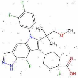 COCC(C)(C)c1c([C@H]2CC[C@](F)(C(=O)O)CC2)c2c(F)c3[nH]ncc3cc2n1-c1ccc(F)c(F)c1